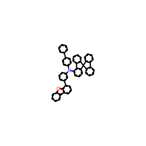 c1ccc(-c2ccc(N(c3cccc(-c4cccc5c4oc4ccccc45)c3)c3cccc4c3-c3ccccc3C43c4ccccc4-c4ccccc43)cc2)cc1